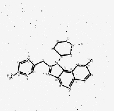 C[C@@H]1C[C@H](n2c(Cc3cnc(C(F)(F)F)cn3)nc3cnc4ccc(Cl)cc4c32)CCO1